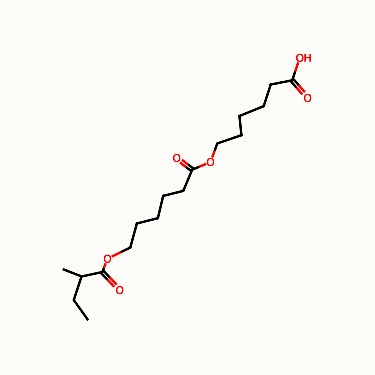 CCC(C)C(=O)OCCCCCC(=O)OCCCCCC(=O)O